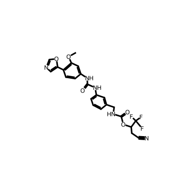 COc1cc(NC(=O)Nc2cccc(CNC(=O)OC(CC#N)C(F)(F)F)c2)ccc1-c1cnco1